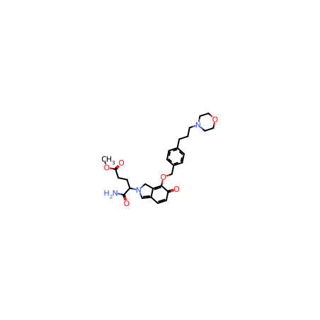 COC(=O)CCC(C(N)=O)N1C=C2C=CC(=O)C(OCc3ccc(CCCN4CCOCC4)cc3)=C2C1